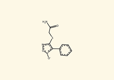 NC(=O)CSc1no[n+]([O-])c1-c1ccccc1